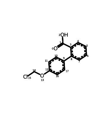 O=C(O)c1ccccc1-c1ccc(OCCl)cc1